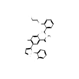 Cc1ccccc1-n1nccc1-c1cc(C(=O)N(C)Cc2ccccc2OCCO)c(O)cc1O